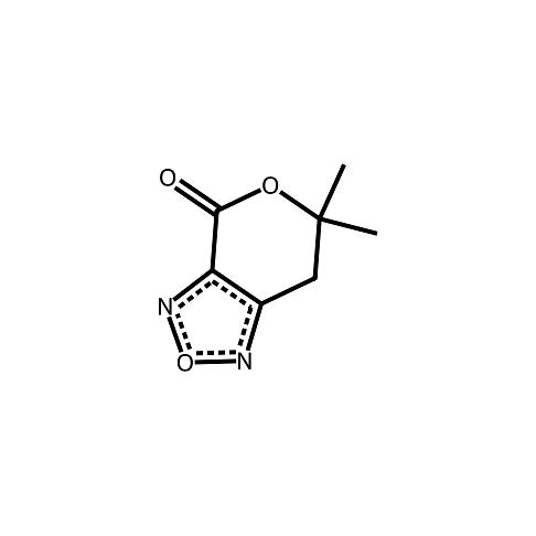 CC1(C)Cc2nonc2C(=O)O1